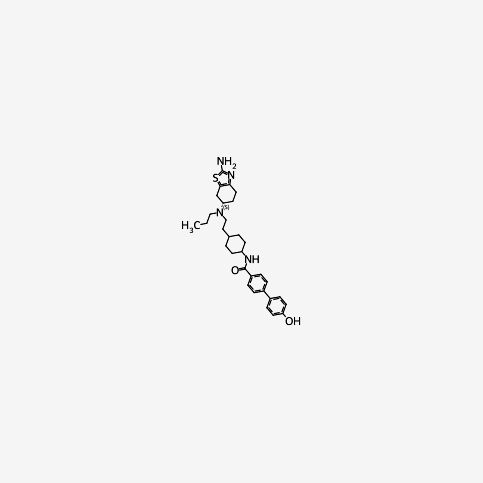 CCCN(CCC1CCC(NC(=O)c2ccc(-c3ccc(O)cc3)cc2)CC1)[C@H]1CCc2nc(N)sc2C1